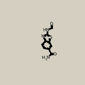 NC(=O)c1ccc2nc(NC=O)sc2c1